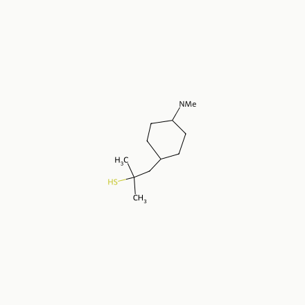 CNC1CCC(CC(C)(C)S)CC1